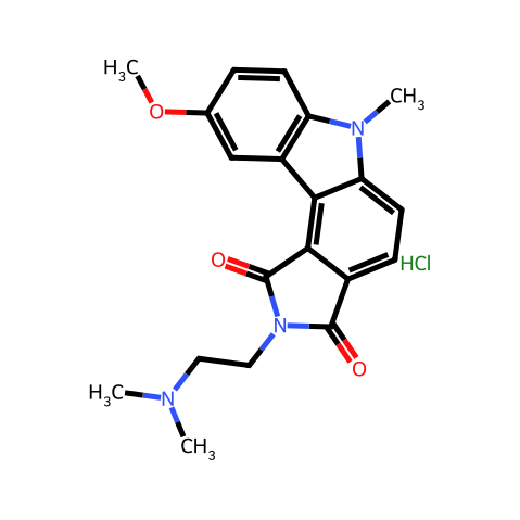 COc1ccc2c(c1)c1c3c(ccc1n2C)C(=O)N(CCN(C)C)C3=O.Cl